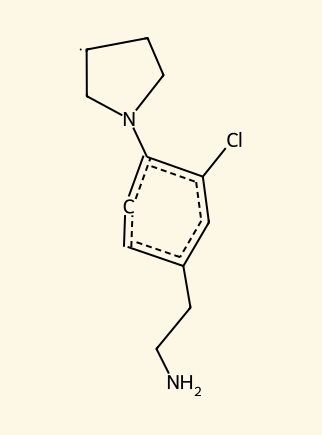 NCCc1ccc(N2C[CH]CC2)c(Cl)c1